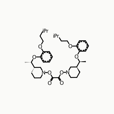 CC(C)CCOc1ccccc1O[C@@H](C)[C@H]1CCCN(OC(=O)C(=O)ON2CCC[C@H]([C@H](C)Oc3ccccc3OCCC(C)C)C2)C1